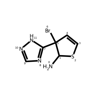 NC1SC=CC1(Br)c1ncn[nH]1